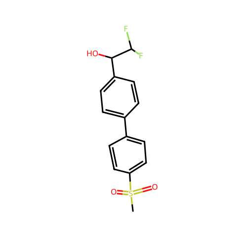 CS(=O)(=O)c1ccc(-c2ccc(C(O)C(F)F)cc2)cc1